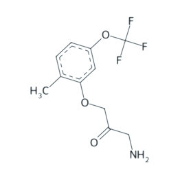 Cc1ccc(OC(F)(F)F)cc1OCC(=O)CN